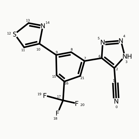 N#Cc1[nH]nnc1-c1cc(-c2cscn2)cc(C(F)(F)F)c1